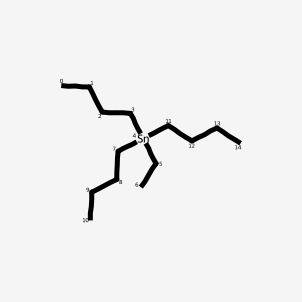 CCC[CH2][Sn]([CH2]C)([CH2]CCC)[CH2]CCC